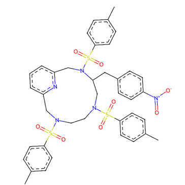 Cc1ccc(S(=O)(=O)N2CCN(S(=O)(=O)c3ccc(C)cc3)CC(Cc3ccc([N+](=O)[O-])cc3)N(S(=O)(=O)c3ccc(C)cc3)Cc3cccc(n3)C2)cc1